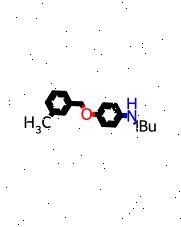 CCC(C)Nc1ccc(OCc2cccc(C)c2)cc1